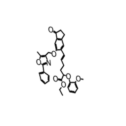 CCOC(=O)C(CCC=Cc1cc2c(cc1OCc1nc(-c3ccccc3)oc1C)C(=O)CC2)Oc1ccccc1OC